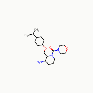 CC(C)C1CCC(OCC2C(N)CCCN2C(=O)N2CCOCC2)CC1